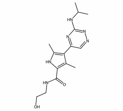 Cc1[nH]c(C(=O)NCCO)c(C)c1-c1cnnc(NC(C)C)n1